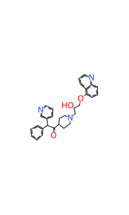 O=C(C1CCN(CC(O)COc2cccc3ncccc23)CC1)C(c1ccccc1)c1cccnc1